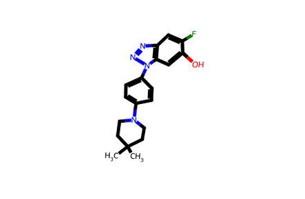 CC1(C)CCN(c2ccc(-n3nnc4cc(F)c(O)cc43)cc2)CC1